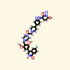 COc1cc(-c2cn(C)c(=O)c3ccc(F)cc23)cc(OC)c1CN1CCN(C(=O)CN2CCC(c3ccc(NC4CCC(=O)NC4=O)cc3)CC2)CC1